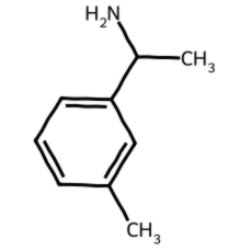 Cc1cccc(C(C)N)c1